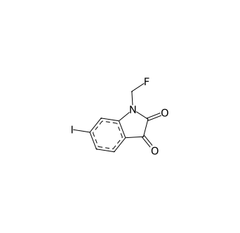 O=C1C(=O)N(CF)c2cc(I)ccc21